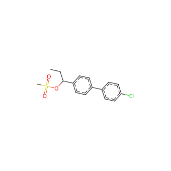 CCC(OS(C)(=O)=O)c1ccc(-c2ccc(Cl)cc2)cc1